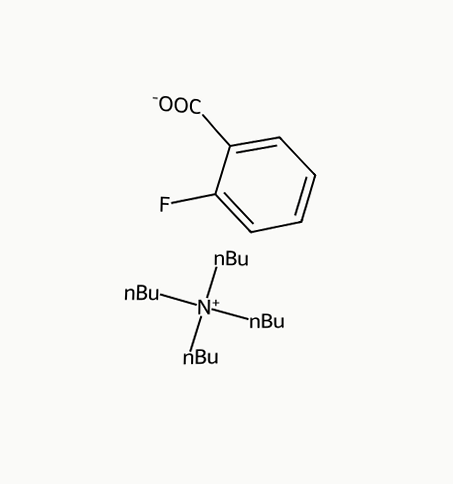 CCCC[N+](CCCC)(CCCC)CCCC.O=C([O-])c1ccccc1F